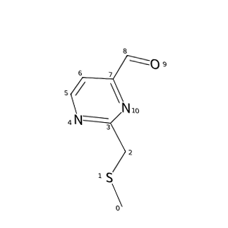 CSCc1nccc(C=O)n1